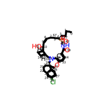 CCCC[C@@H]1[C@@H](C)C/C=C\[C@H](O)[C@@H]2CC[C@H]2CN2C[C@@]3(CCCc4cc(Cl)ccc43)COc3ccc(cc32)C(=O)NS1(=O)=O